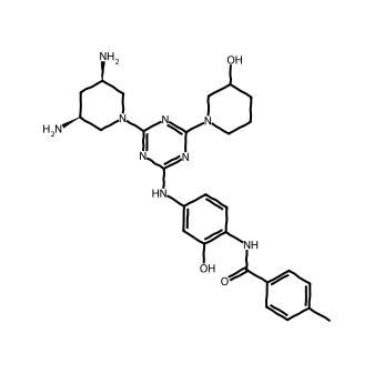 Cc1ccc(C(=O)Nc2ccc(Nc3nc(N4CCCC(O)C4)nc(N4C[C@H](N)C[C@H](N)C4)n3)cc2O)cc1